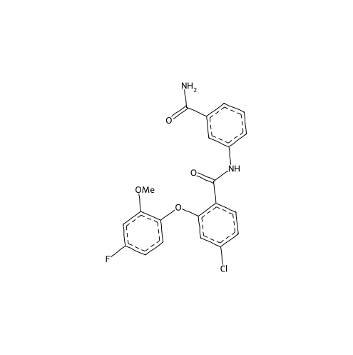 COc1cc(F)ccc1Oc1cc(Cl)ccc1C(=O)Nc1cccc(C(N)=O)c1